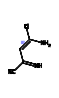 N#CC(=N)/C=C(\N)Cl